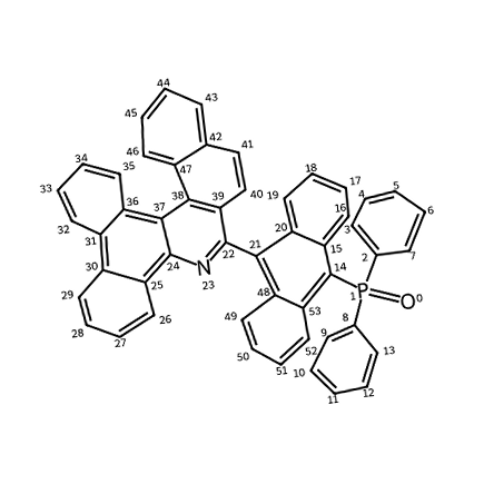 O=P(c1ccccc1)(c1ccccc1)c1c2ccccc2c(-c2nc3c4ccccc4c4ccccc4c3c3c2ccc2ccccc23)c2ccccc12